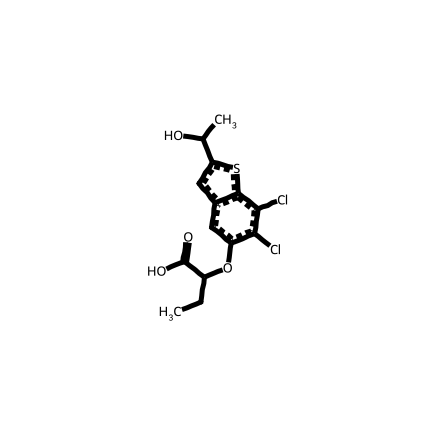 CCC(Oc1cc2cc(C(C)O)sc2c(Cl)c1Cl)C(=O)O